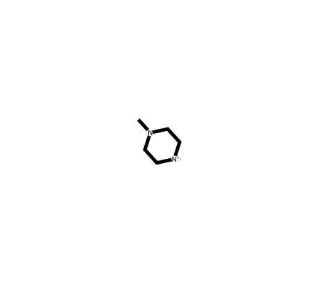 CN1CC[N+]CC1